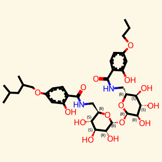 CCCOc1ccc(C(=O)NC[C@H]2O[C@H](O[C@H]3O[C@H](CNC(=O)c4ccc(OCC(C)CC(C)C)cc4O)[C@@H](O)[C@H](O)[C@H]3O)[C@H](O)[C@@H](O)[C@@H]2O)c(O)c1